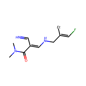 CC/C(=C\F)CN/C=C(\C=N)C(=O)N(C)C